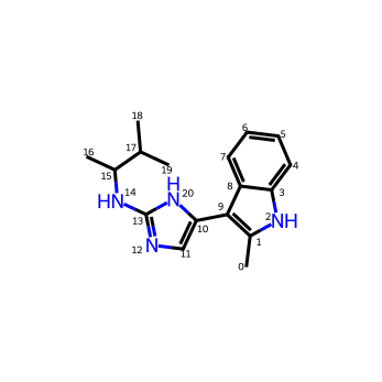 Cc1[nH]c2ccccc2c1-c1cnc(NC(C)C(C)C)[nH]1